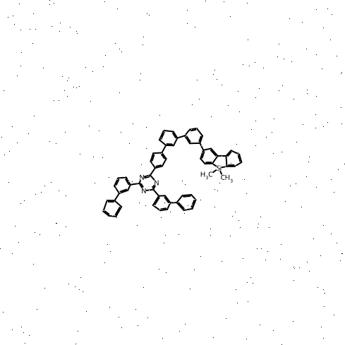 C[Si]1(C)c2ccccc2-c2cc(-c3cccc(-c4cccc(-c5ccc(-c6nc(-c7cccc(-c8ccccc8)c7)nc(-c7cccc(-c8ccccc8)c7)n6)cc5)c4)c3)ccc21